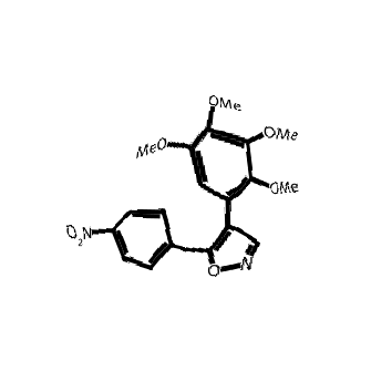 COc1cc(-c2cnoc2-c2ccc([N+](=O)[O-])cc2)c(OC)c(OC)c1OC